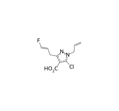 C=CCn1nc(CC=CF)c(C(=O)O)c1Cl